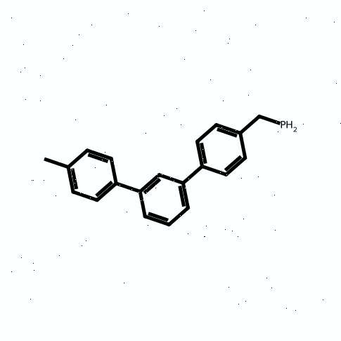 Cc1ccc(-c2cccc(-c3ccc(CP)cc3)c2)cc1